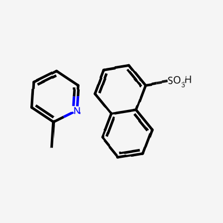 Cc1ccccn1.O=S(=O)(O)c1cccc2ccccc12